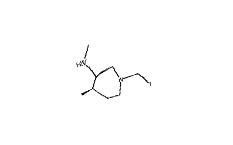 CNC1CN(CI)CC[C@H]1C